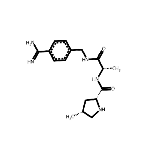 C[C@H]1CN[C@@H](C(=O)N[C@@H](C)C(=O)NCc2ccc(C(=N)N)cc2)C1